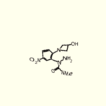 CNC(=O)N(N)c1cc([N+](=O)[O-])ccc1N1CC(O)C1